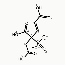 O=C(O)C=CC(CC(=O)O)(C(=O)O)P(=O)(O)O